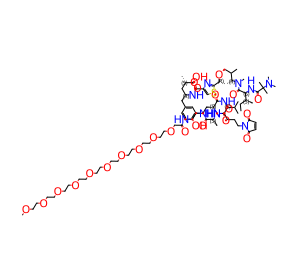 CC[C@H](C)[C@H](NC(=O)C(C)(C)N(C)C)C(=O)N(C)[C@H](C[C@@H](OC)c1nc(C(=O)N[C@@H](Cc2ccc(O)c(NC(=O)[C@H](C)NC(=O)[C@@H](NC(=O)[C@H](CCCCNC(=O)COCCOCCOCCOCCOCCOCCOCCOCCOCCOC)NC(=O)CCCN3C(=O)C=CC3=O)C(C)C)c2)C[C@H](C)C(=O)O)cs1)C(C)C